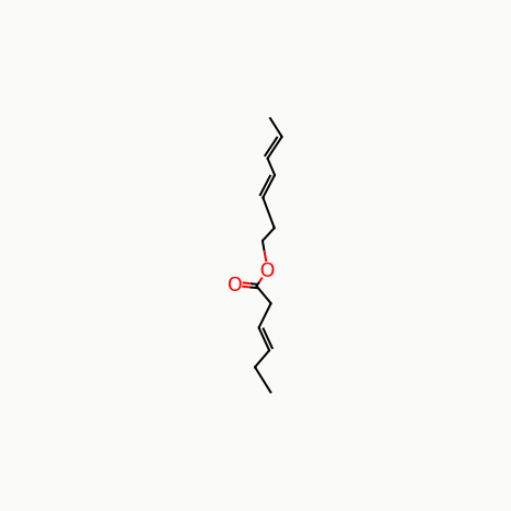 C/C=C/C=C/CCOC(=O)C/C=C/CC